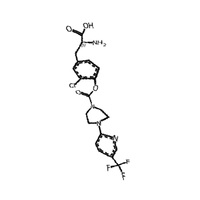 N[C@@H](Cc1ccc(OC(=O)N2CCN(c3ccc(C(F)(F)F)cn3)CC2)c(Cl)c1)C(=O)O